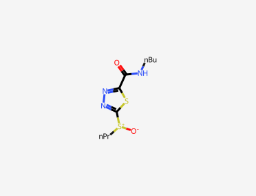 CCCCNC(=O)c1nnc([S+]([O-])CCC)s1